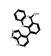 COC(=O)c1cccc(-c2cc[nH]c3nncc2-3)c1Oc1ccccc1